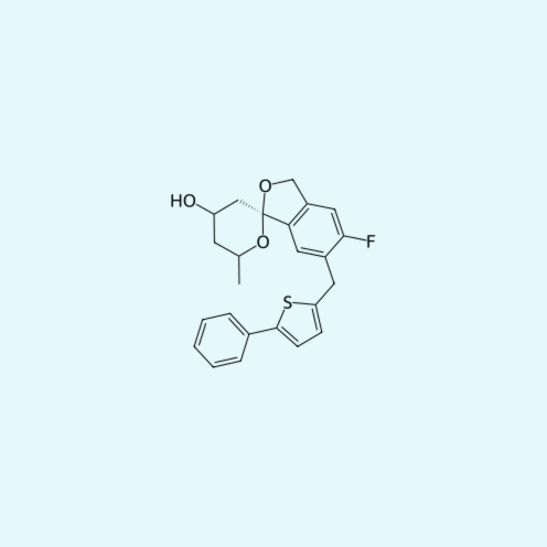 CC1CC(O)C[C@@]2(OCc3cc(F)c(Cc4ccc(-c5ccccc5)s4)cc32)O1